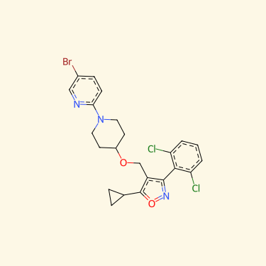 Clc1cccc(Cl)c1-c1noc(C2CC2)c1COC1CCN(c2ccc(Br)cn2)CC1